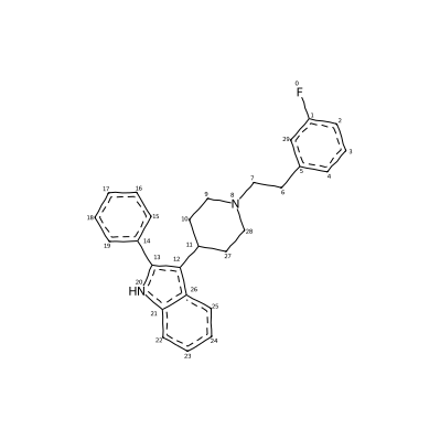 Fc1cccc(CCN2CCC(c3c(-c4ccccc4)[nH]c4ccccc34)CC2)c1